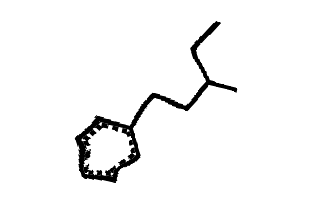 CCC(C)CCc1ccccc1